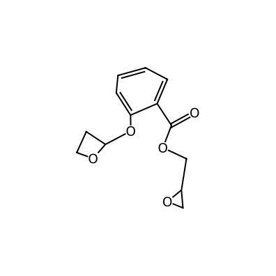 O=C(OCC1CO1)c1ccccc1OC1CCO1